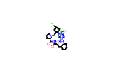 Cl.Cl.N[C@@H](Cc1ccccc1)C(=O)NC(=O)[C@@H]1CCCN1Cc1cc(Cl)ccc1-n1cnnn1